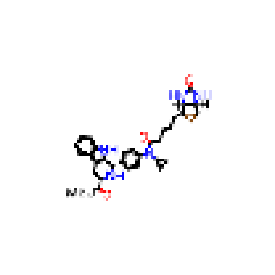 COC(=O)[C@H]1Cc2c([nH]c3ccccc23)[C@@H](c2ccc(N(C(=O)CCCC[C@@H]3SC[C@@H]4NC(=O)N[C@@H]43)C3CC3)cc2)N1